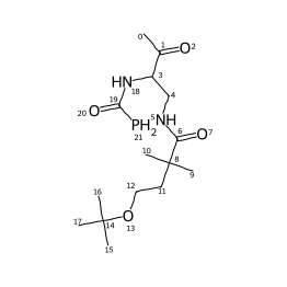 CC(=O)C(CNC(=O)C(C)(C)CCOC(C)(C)C)NC(=O)P